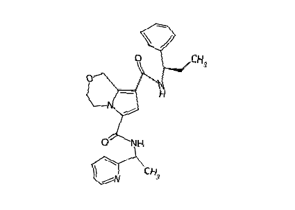 CC[C@@H](NC(=O)c1cc(C(=O)NC(C)c2ccccn2)n2c1COCC2)c1ccccc1